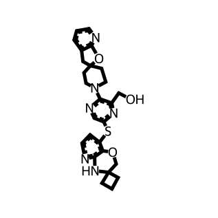 OCc1nc(Sc2ccnc3c2OCC2(CCC2)N3)cnc1N1CCC2(CC1)Cc1cccnc1O2